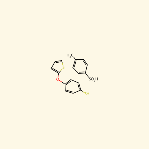 Cc1ccc(S(=O)(=O)O)cc1.Sc1ccc(Oc2cccs2)cc1